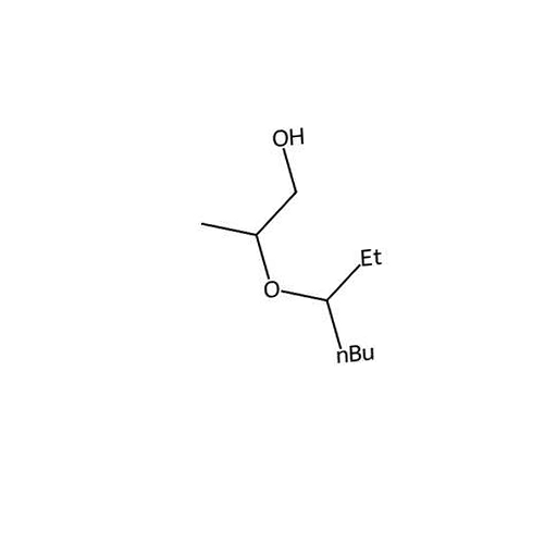 CCCCC(CC)OC(C)CO